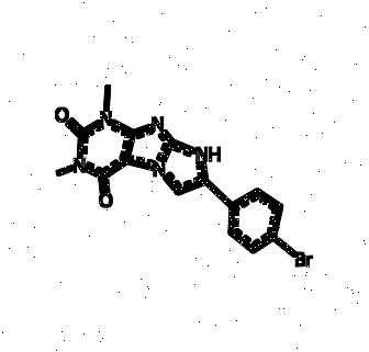 Cn1c(=O)c2c(nc3[nH]c(-c4ccc(Br)cc4)cn32)n(C)c1=O